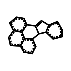 C1=C2c3cccc4ccc5cccc(c5c34)C2c2ccccc21